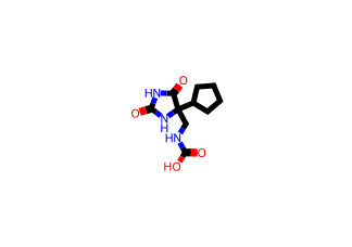 O=C(O)NCC1(C2CCCC2)NC(=O)NC1=O